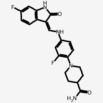 NC(=O)C1CCN(c2ccc(N/C=C3\C(=O)Nc4cc(F)ccc43)cc2F)CC1